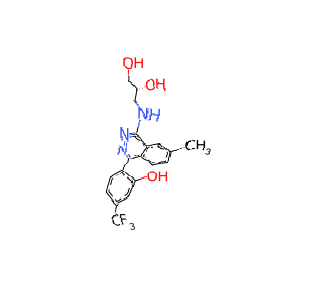 Cc1ccc2c(-c3ccc(C(F)(F)F)cc3O)nnc(NC[C@@H](O)CO)c2c1